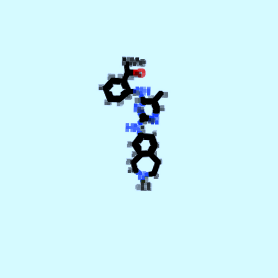 CCN1CCc2ccc(Nc3ncc(C)c(Nc4ccccc4C(=O)NC)n3)cc2CC1